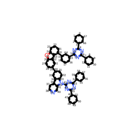 c1ccc(-c2nc(-c3ccccc3)nc(-c3cccc(-c4cccc5oc6ccc(-c7ccc8c(c7)c7ccncc7n8-c7nc(-c8ccccc8)nc(-c8ccccc8)n7)cc6c45)c3)n2)cc1